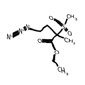 CCOC(=O)C(C)(CCN=[N+]=[N-])S(C)(=O)=O